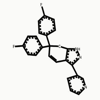 Fc1ccc(C2(c3ccc(F)cc3)C=Cc3c(-c4cccnc4)n[nH]c3C2)cc1